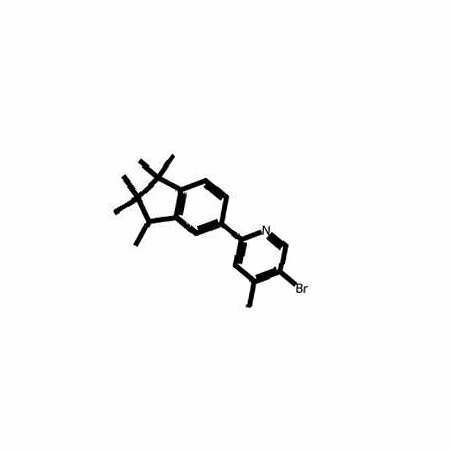 Cc1cc(-c2ccc3c(c2)C(C)C(C)(C)C3(C)C)ncc1Br